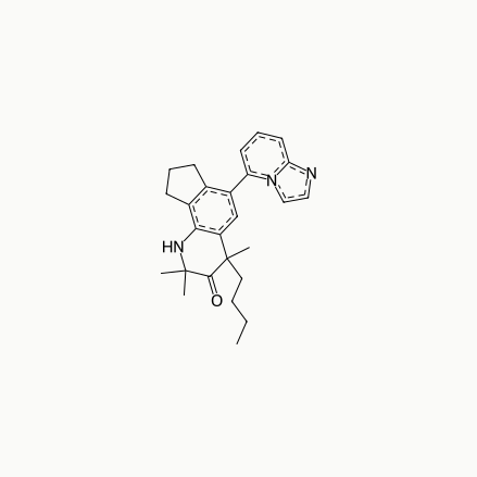 CCCCC1(C)C(=O)C(C)(C)Nc2c1cc(-c1cccc3nccn13)c1c2CCC1